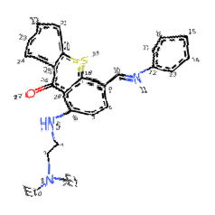 CCN(CC)CCNc1ccc(C=Nc2ccccc2)c2sc3ccccc3c(=O)c12